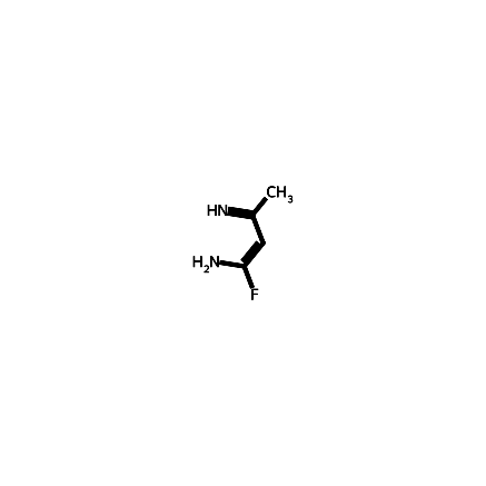 CC(=N)/C=C(\N)F